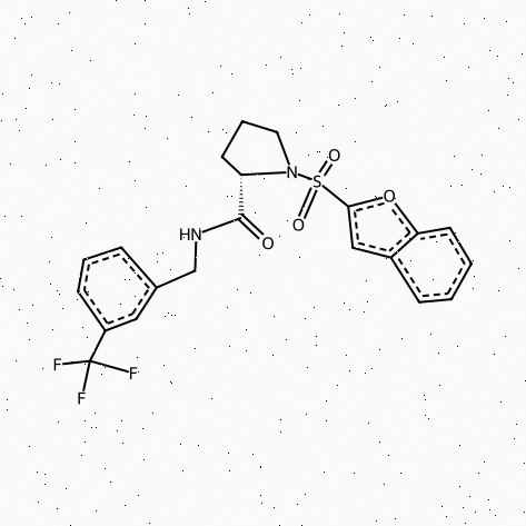 O=C(NCc1cccc(C(F)(F)F)c1)[C@@H]1CCCN1S(=O)(=O)c1cc2ccccc2o1